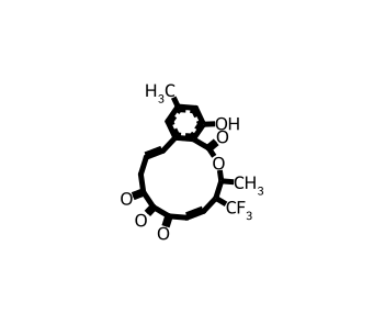 Cc1cc(O)c2c(c1)/C=C/CC(=O)C(=O)C(=O)/C=C\C(C(F)(F)F)C(C)OC2=O